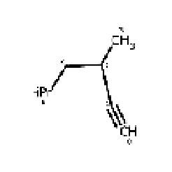 C#CC(C)C[C](C)C